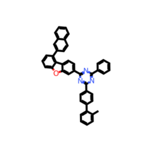 Cc1ccccc1-c1ccc(-c2nc(-c3ccccc3)nc(-c3ccc4c(c3)oc3cccc(-c5ccc6ccccc6c5)c34)n2)cc1